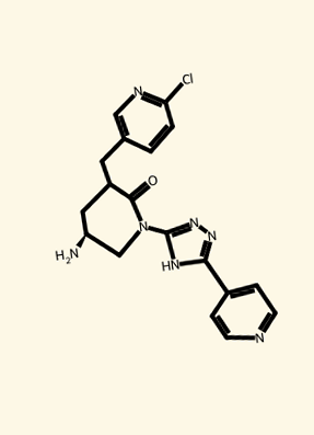 N[C@H]1CC(Cc2ccc(Cl)nc2)C(=O)N(c2nnc(-c3ccncc3)[nH]2)C1